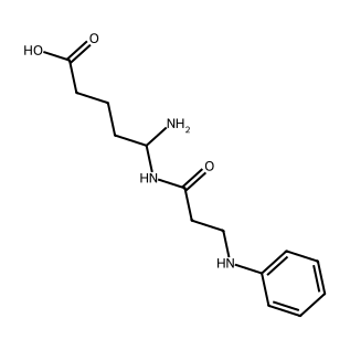 NC(CCCC(=O)O)NC(=O)CCNc1ccccc1